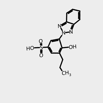 CCCc1cc(S(=O)(=O)O)cc(-n2nc3ccccc3n2)c1O